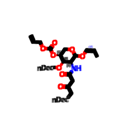 C=CCOC(=O)O[C@@H]1COC(O/C=C\C)[C@H](NC(=O)CC(=O)CCCCCCCCCCC)[C@H]1OCCCCCCCCCC